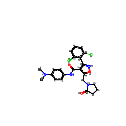 CCN(CC)c1ccc(NC(=O)c2c(-c3c(Cl)cccc3Cl)noc2CN2CCCC2=O)cc1